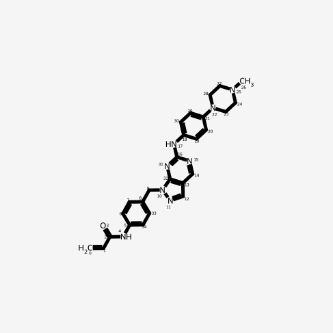 C=CC(=O)Nc1ccc(Cn2ncc3cnc(Nc4ccc(N5CCN(C)CC5)cc4)nc32)cc1